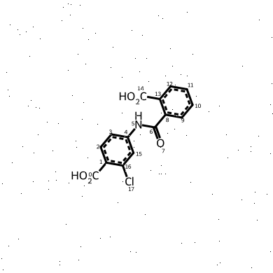 O=C(O)c1ccc(NC(=O)c2ccccc2C(=O)O)cc1Cl